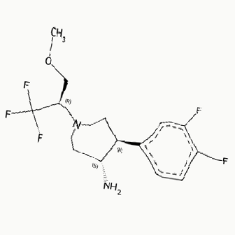 COC[C@@H](N1C[C@@H](N)[C@H](c2ccc(F)c(F)c2)C1)C(F)(F)F